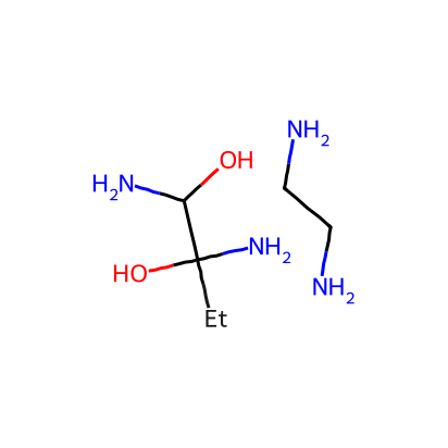 CCC(N)(O)C(N)O.NCCN